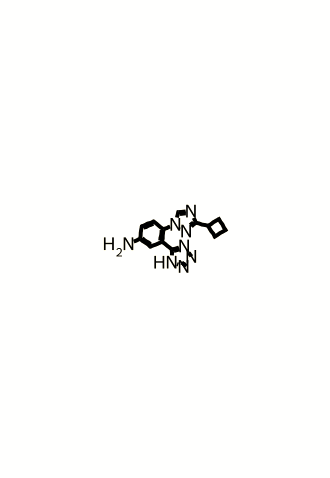 Nc1ccc(-n2cnc(C3CCC3)n2)c(-c2nnn[nH]2)c1